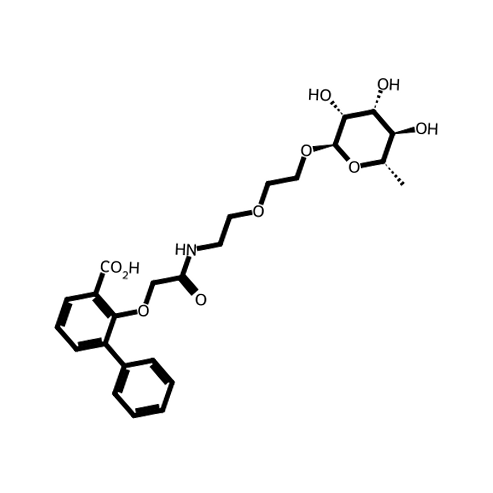 C[C@@H]1O[C@@H](OCCOCCNC(=O)COc2c(C(=O)O)cccc2-c2ccccc2)[C@H](O)[C@H](O)[C@H]1O